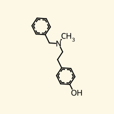 CN(CCc1ccc(O)cc1)Cc1ccccc1